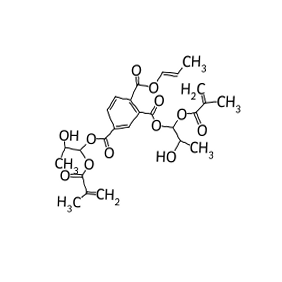 C=C(C)C(=O)OC(OC(=O)c1ccc(C(=O)OC=CC)c(C(=O)OC(OC(=O)C(=C)C)C(C)O)c1)C(C)O